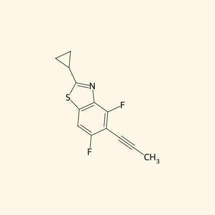 CC#Cc1c(F)cc2sc(C3CC3)nc2c1F